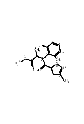 COC(=O)C(C)N(C(=O)C1CC(C)=NO1)c1c(C)cccc1C